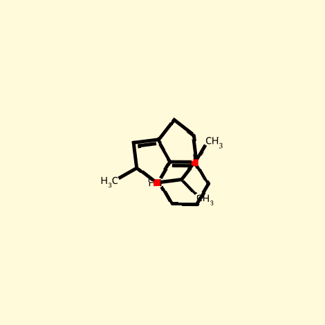 CC1=C(/C2=C\C(C)CC(C)CCC2)NCCC1